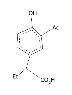 CCC(C(=O)O)c1ccc(O)c(C(C)=O)c1